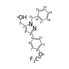 OCc1cc(-c2ccc(OC(F)(F)F)cc2)nn1Cc1ccccc1